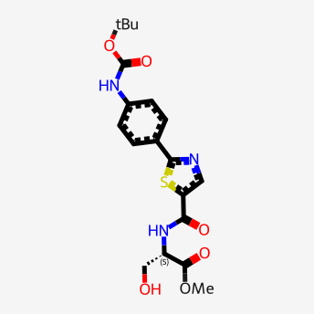 COC(=O)[C@H](CO)NC(=O)c1cnc(-c2ccc(NC(=O)OC(C)(C)C)cc2)s1